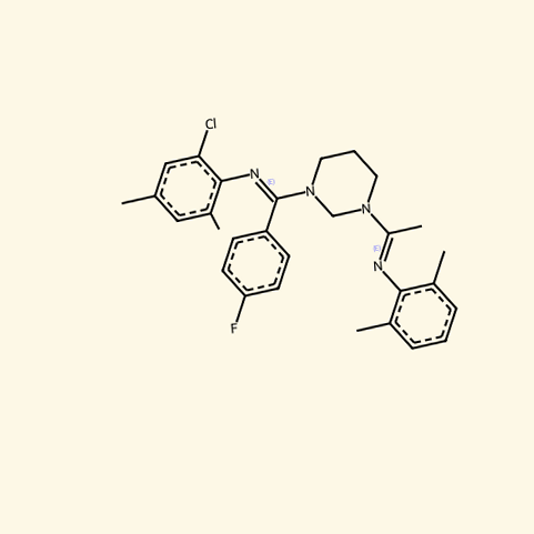 C/C(=N\c1c(C)cccc1C)N1CCCN(/C(=N/c2c(C)cc(C)cc2Cl)c2ccc(F)cc2)C1